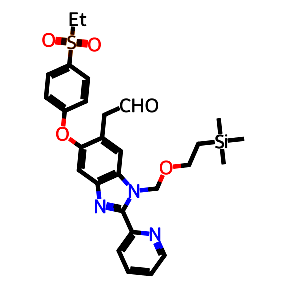 CCS(=O)(=O)c1ccc(Oc2cc3nc(-c4ccccn4)n(COCC[Si](C)(C)C)c3cc2CC=O)cc1